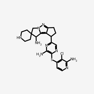 Nc1nc(C2CCc3nn4c(c32)C(N)C2(CCNCC2)C4)cnc1Sc1ccnc(N)c1Cl